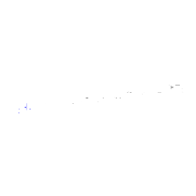 NCCCCCCCCCCCCC[SiH3]